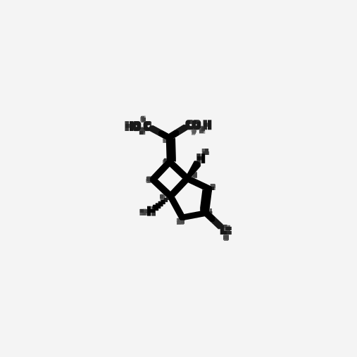 CCC1=C[C@H]2C(=C(C(=O)O)C(=O)O)C[C@@H]2C1